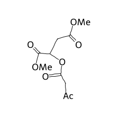 COC(=O)CC(OC(=O)CC(C)=O)C(=O)OC